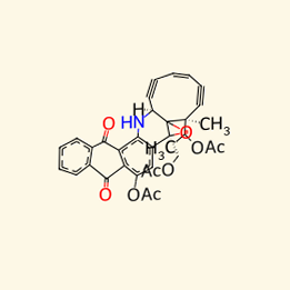 CC(=O)OC[C@@]12OC13[C@H](C#C/C=C\C#C[C@@]3(C)C(C)OC(C)=O)Nc1c2cc(OC(C)=O)c2c1C(=O)c1ccccc1C2=O